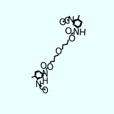 Cc1ccc(NC(=O)OCCCCOCCCCOC(=O)Nc2ccc(C)c(N=C=O)c2)cc1N=C=O